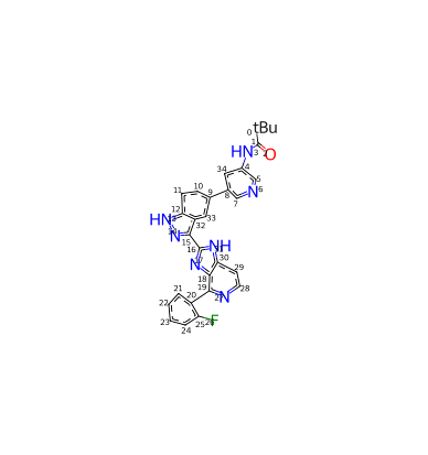 CC(C)(C)C(=O)Nc1cncc(-c2ccc3[nH]nc(-c4nc5c(-c6ccccc6F)nccc5[nH]4)c3c2)c1